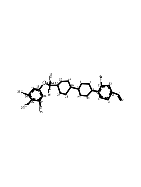 C=Cc1ccc(C2CCC(C3CCC(C(F)(F)Oc4cc(F)c(F)c(F)c4)CC3)CC2)c(F)c1